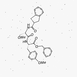 COC[C@H](NC(=O)C1Cc2ccccc2C1)C(=O)N[C@@H](Cc1ccc(OC)cc1)C(=O)OCc1ccccc1